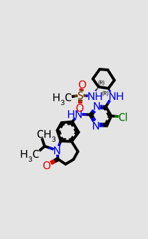 CC(C)N1C(=O)CCCc2cc(Nc3ncc(Cl)c(N[C@@H]4CCCC[C@H]4NS(C)(=O)=O)n3)ccc21